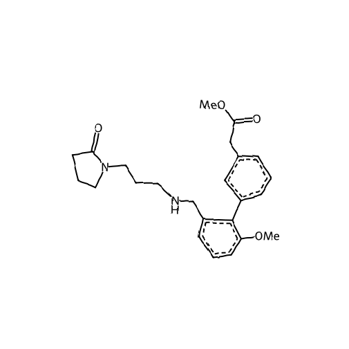 COC(=O)Cc1cccc(-c2c(CNCCCN3CCCC3=O)cccc2OC)c1